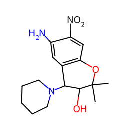 CC1(C)Oc2cc([N+](=O)[O-])c(N)cc2C(N2CCCCC2)C1O